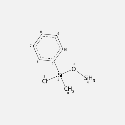 C[Si](Cl)(O[SiH3])c1ccccc1